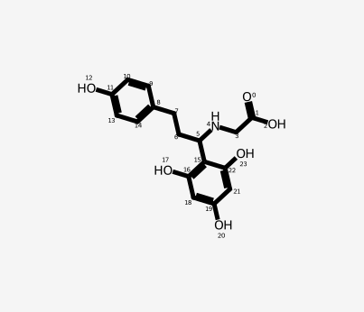 O=C(O)CNC(CCc1ccc(O)cc1)c1c(O)cc(O)cc1O